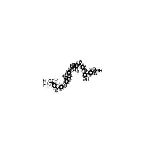 CC(C)(C)c1ccc(C(=O)c2ccc(Oc3ccc(C(c4ccc(OC(C)(C)C(C)(C)c5ccc(C(=O)c6ccc(Oc7ccc(O)cc7-c7ccc(S(=O)(=O)O)cc7)cc6)cc5)cc4)(C(F)(F)F)C(F)(F)F)cc3)cc2)cc1